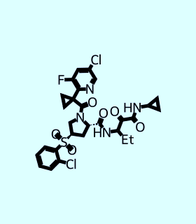 CCC(NC(=O)[C@@H]1C[C@@H](S(=O)(=O)c2ccccc2Cl)CN1C(=O)C1(c2ncc(Cl)cc2F)CC1)C(=O)C(=O)NC1CC1